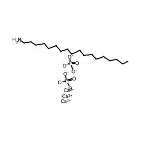 CCCCCCCCCCCCCCCCCCN.O=P([O-])([O-])[O-].O=P([O-])([O-])[O-].[Ca+2].[Ca+2].[Ca+2]